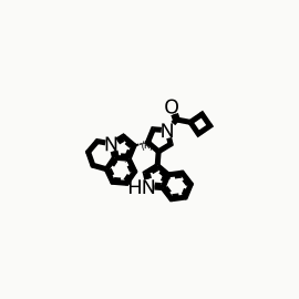 O=C(C1CCC1)N1CC(c2c[nH]c3ccccc23)[C@H](c2cn3c4c(cccc24)CCC3)C1